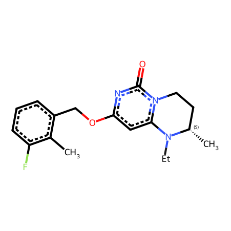 CCN1c2cc(OCc3cccc(F)c3C)nc(=O)n2CC[C@@H]1C